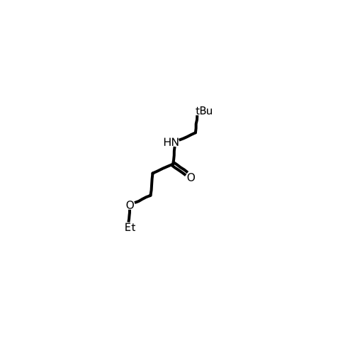 CCOCCC(=O)NCC(C)(C)C